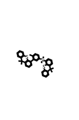 Cc1ccc([Si](C)(C)c2cccc3c2Sc2ccccc2C3(C)C)cc1-c1cccc2c1Sc1ccccc1C2(C)C